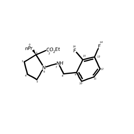 CCC[C@]1(C(=O)OCC)CCCN1NCc1cccc(F)c1F